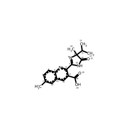 Cc1ccc2nc(C3=NC(C)(C(C)C)C(=O)N3)c(C(=O)O)cc2c1